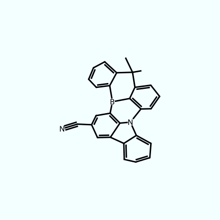 CC1(C)c2ccccc2B2c3c(cccc31)-n1c3ccccc3c3cc(C#N)cc2c31